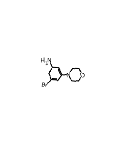 NC1C=C(N2CCOCC2)C=C(Br)C1